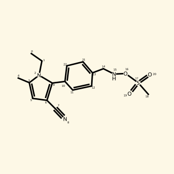 CCn1c(C)cc(C#N)c1-c1ccc(CNOS(C)(=O)=O)cc1